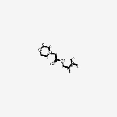 CC(COC(=O)CN1CCOCC1)N(C)C